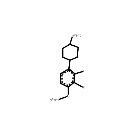 CCCCCOc1ccc(C2CCC(CCCCC)CC2)c(F)c1F